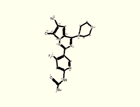 CC(C)(C)C(=O)Nc1cc(C(F)(F)F)c(-c2nc(N3CCOCC3)c3cc(C#N)c(Cl)n3n2)cn1